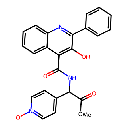 COC(=O)C(NC(=O)c1c(O)c(-c2ccccc2)nc2ccccc12)c1cc[n+]([O-])cc1